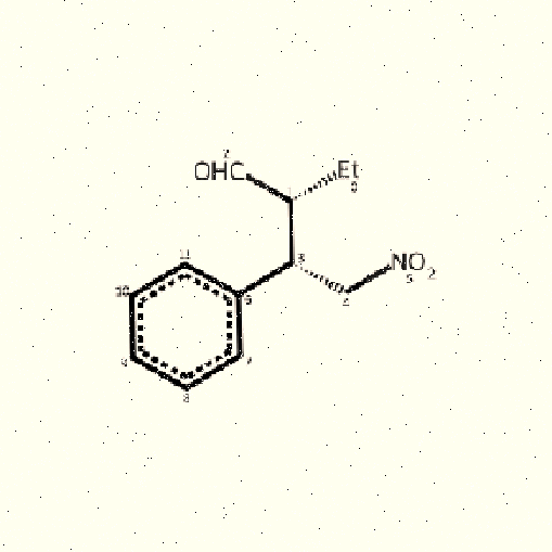 CC[C@@H](C=O)[C@H](C[N+](=O)[O-])c1ccccc1